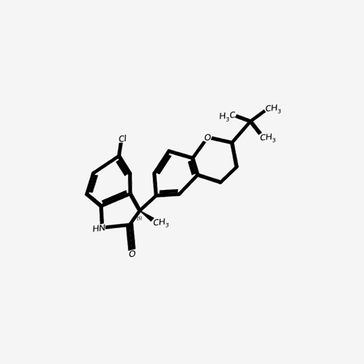 CC(C)(C)C1CCc2cc([C@]3(C)C(=O)Nc4ccc(Cl)cc43)ccc2O1